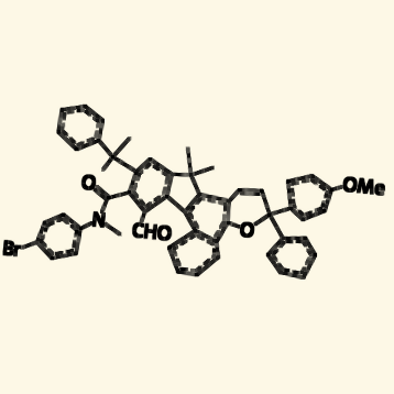 COc1ccc(C2(c3ccccc3)C=Cc3c4c(c5ccccc5c3O2)-c2c(cc(C(C)(C)c3ccccc3)c(C(=O)N(C)c3ccc(Br)cc3)c2C=O)C4(C)C)cc1